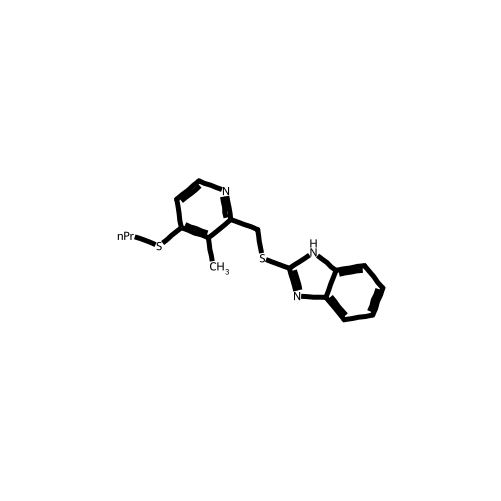 CCCSc1ccnc(CSc2nc3ccccc3[nH]2)c1C